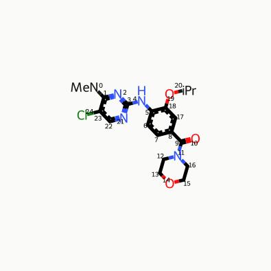 CNc1nc(Nc2ccc(C(=O)N3CCOCC3)cc2OC(C)C)ncc1Cl